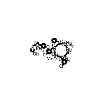 COC[C@@H]1NC(=O)[C@H](C)N(Cc2ccc(Cl)cc2Oc2ccc(-c3cnc(CN4CC[C@H](O)C4)n3C)cc2)C(=O)C[C@@H](Cc2ccccc2)C(=O)N(C)[C@@H](C)CNC(=O)C[C@H](Cc2ccc(Cl)cc2)N(C)C1=O